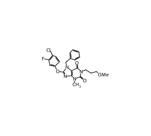 COCCCn1c(=O)c2c(nc(Oc3ccc(Cl)c(F)c3)n2Cc2ccccc2)n(C)c1=O